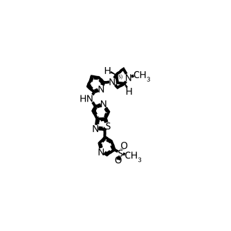 CN1C[C@@H]2C[C@H]1CN2c1cccc(Nc2cc3nc(-c4cncc(S(C)(=O)=O)c4)sc3cn2)n1